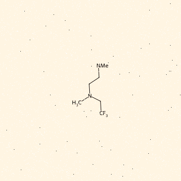 CNCCN(C)CC(F)(F)F